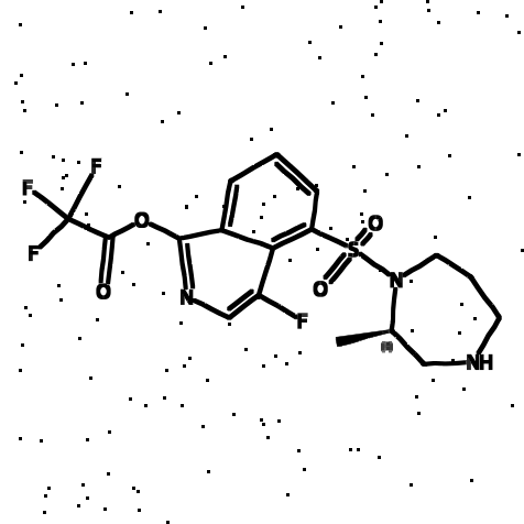 C[C@@H]1CNCCCN1S(=O)(=O)c1cccc2c(OC(=O)C(F)(F)F)ncc(F)c12